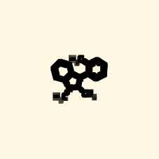 Cc1ccccc1N1C2C=CC=CC2N(C)[C@@H]1C